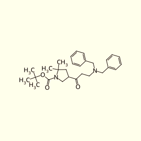 CC(C)(C)OC(=O)N1CC(C(=O)CCN(Cc2ccccc2)Cc2ccccc2)CC1(C)C